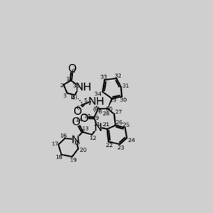 O=C1CC[C@@H](C(=O)N[C@H]2C(=O)N(CC(=O)N3CCCCC3)c3ccccc3C[C@@H]2c2ccccc2)N1